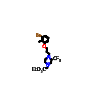 CCOC(=O)CN1CCN(CCCOc2cccc(Br)c2C)[C@H](C(F)(F)F)C1